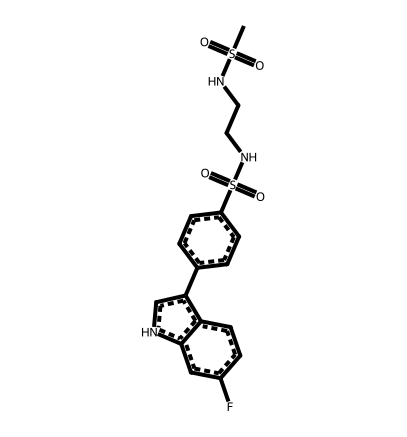 CS(=O)(=O)NCCNS(=O)(=O)c1ccc(-c2c[nH]c3cc(F)ccc23)cc1